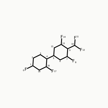 FC1CCC(C2CC(F)C(C(F)F)C(F)C2)C(F)C1